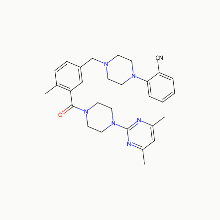 Cc1cc(C)nc(N2CCN(C(=O)c3cc(CN4CCN(c5ccccc5C#N)CC4)ccc3C)CC2)n1